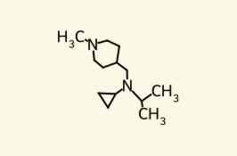 CC(C)N(CC1CCN(C)CC1)C1CC1